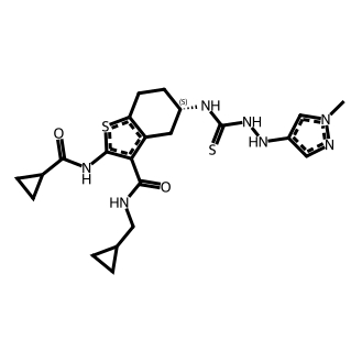 Cn1cc(NNC(=S)N[C@H]2CCc3sc(NC(=O)C4CC4)c(C(=O)NCC4CC4)c3C2)cn1